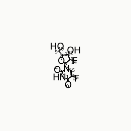 O=c1[nH]c(=O)n([C@H]2O[C@@H](CO)[C@H](O)[C@H]2F)cc1F